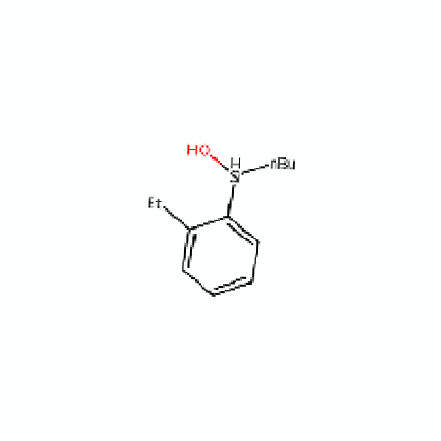 CCCC[SiH](O)c1ccccc1CC